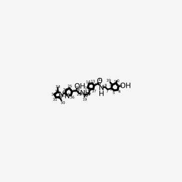 Cc1c(O)ccc(CCNC(=O)c2cccc(C[C@@H](C)NC[C@@H](O)c3ccc(-n4c(C)ccc4C)nc3)c2)c1C